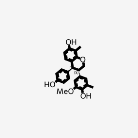 COc1cc([C@H]2COc3c(ccc(O)c3C)[C@@H]2c2ccc(O)cc2)cc(C)c1O